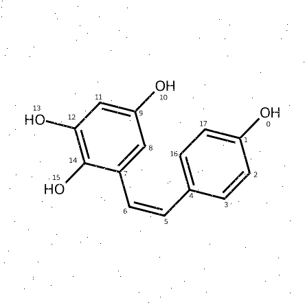 Oc1ccc(/C=C\c2cc(O)cc(O)c2O)cc1